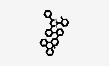 CC1CC=CC=C1c1nc(-c2ccccc2)cc(-c2ccccc2-c2ccccc2C2=CC3c4ccccc4-c4ccccc4C3(C)C=C2)n1